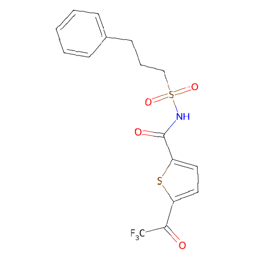 O=C(NS(=O)(=O)CCCc1ccccc1)c1ccc(C(=O)C(F)(F)F)s1